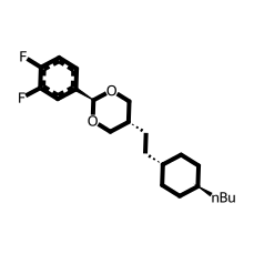 CCCC[C@H]1CC[C@H](CC[C@H]2CO[C@H](c3ccc(F)c(F)c3)OC2)CC1